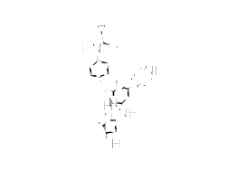 Cc1cc(Nc2cc(N3CCNCC3)nc(Sc3ccc(NC(=O)C4CC4)cc3)n2)[nH]n1